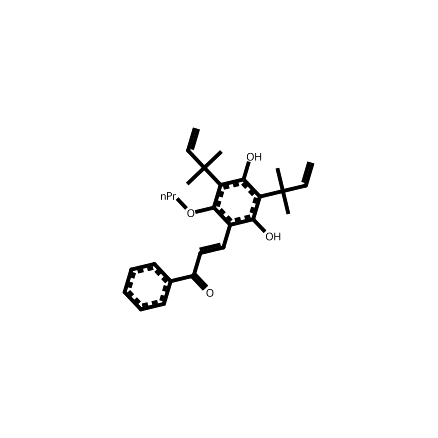 C=CC(C)(C)c1c(O)c(C=CC(=O)c2ccccc2)c(OCCC)c(C(C)(C)C=C)c1O